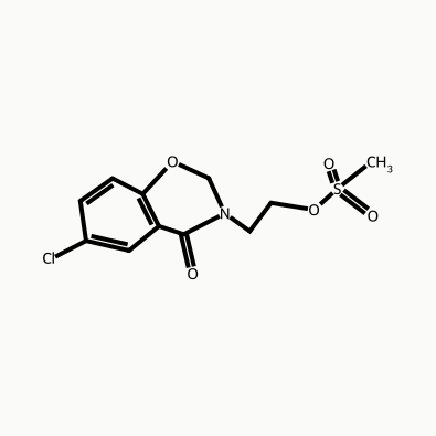 CS(=O)(=O)OCCN1COc2ccc(Cl)cc2C1=O